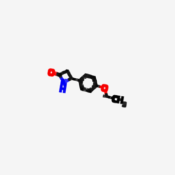 C[CH]Oc1ccc(C2CC(=O)N2)cc1